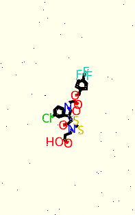 O=C(O)CCN1C(=O)/C(=C2/C(=O)N(CC(=O)OCc3ccc(C(F)(F)F)cc3)c3ccc(Cl)cc32)SC1=S